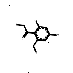 O=C(CI)c1c(Cl)cc(Cl)cc1CI